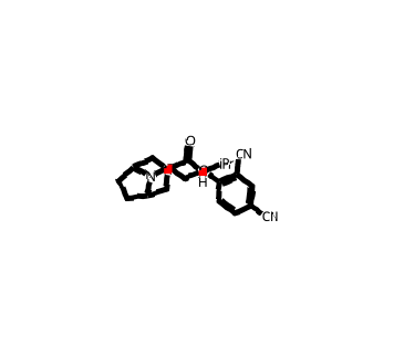 CC(C)NC(=O)N1CC2CCC(C1)N2CCOc1ccc(C#N)cc1C#N